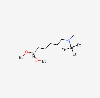 CCO[SiH](CCCCCN(C)[Si](CC)(CC)CC)OCC